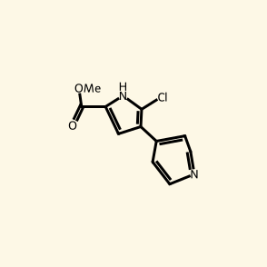 COC(=O)c1cc(-c2ccncc2)c(Cl)[nH]1